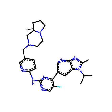 Cc1nc2ncc(-c3nc(Nc4ccc(CN5CCN6CCC[C@@H]6C5)cn4)ncc3F)cc2n1C(C)C